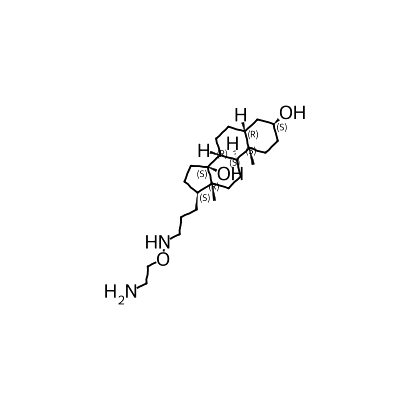 C[C@]12CC[C@H](O)C[C@H]1CC[C@@H]1[C@@H]2CC[C@]2(C)[C@@H](CCCNOCCN)CC[C@]12O